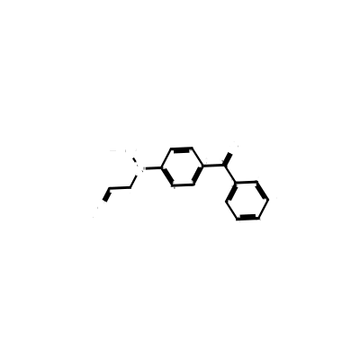 C=CCN(C)c1ccc(C(=O)c2ccccc2)cc1